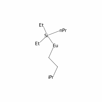 CCC[Si](CC)(CC)[Eu][CH2]CC(C)C